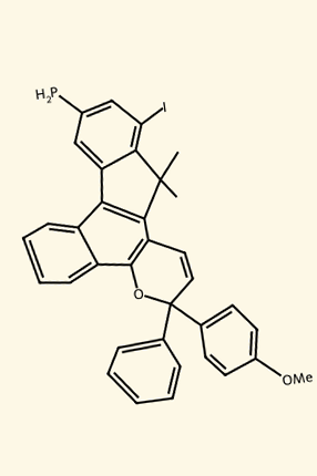 COc1ccc(C2(c3ccccc3)C=Cc3c4c(c5ccccc5c3O2)-c2cc(P)cc(I)c2C4(C)C)cc1